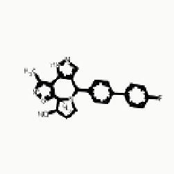 Cc1noc(C)c1-c1[nH]ncc1C(c1ccc(-c2ccc(F)cc2)cc1)N1CCC(O)C1